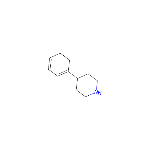 C1=CCCC(C2CCNCC2)=C1